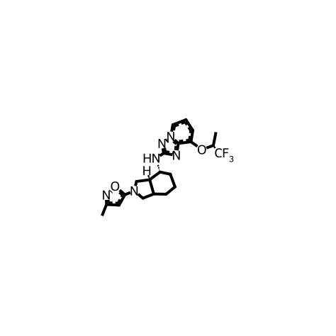 Cc1cc(N2CC3CCC[C@@H](Nc4nc5c(O[C@H](C)C(F)(F)F)cccn5n4)[C@@H]3C2)on1